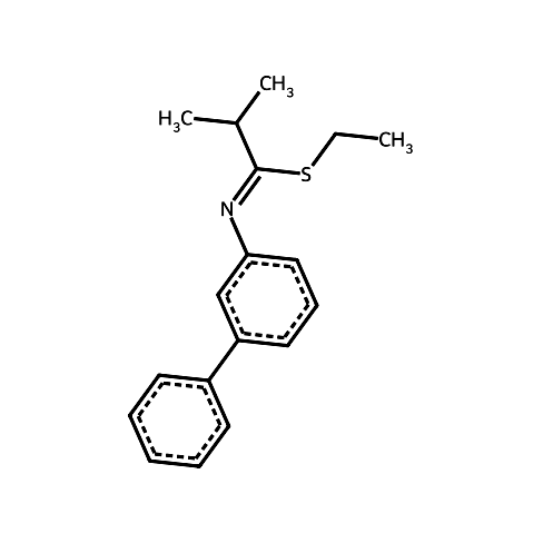 CCSC(=Nc1cccc(-c2ccccc2)c1)C(C)C